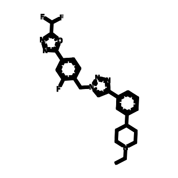 CCN1CCC(c2cccc(-c3cn(Cc4ccc(-c5nnc(C(F)F)o5)cc4F)nn3)c2)CC1